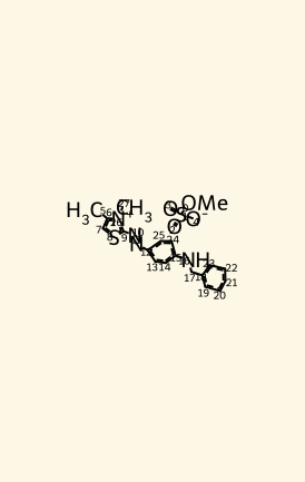 COS(=O)(=O)[O-].Cc1csc(N=Nc2ccc(NCc3ccccc3)cc2)[n+]1C